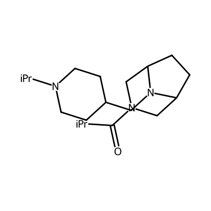 CC(C)C(=O)N1CC2CCC(C1)N2CC1CCN(C(C)C)CC1